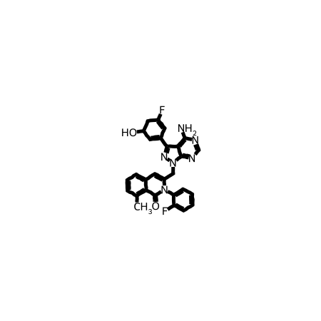 Cc1cccc2cc(Cn3nc(C4=CC(O)CC(F)=C4)c4c(N)ncnc43)n(-c3ccccc3F)c(=O)c12